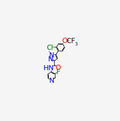 Cn1nc(C(=O)Nc2ccncc2F)cc1-c1ccc(OC(F)(F)F)cc1Cl